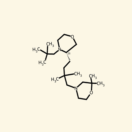 CC(C)(C)CN1CCOC[C@@H]1CCC(C)(C)CN1CCOC(C)(C)C1